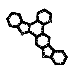 c1ccc2c(c1)nc1c3cc4oc5ccccc5c4cc3c3ncccc3n21